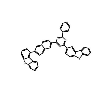 c1ccc(-c2nc(-c3ccc4cc(-c5cccc6oc7ccccc7c56)ccc4c3)nc(-c3ccc4sc5ccccc5c4c3)n2)cc1